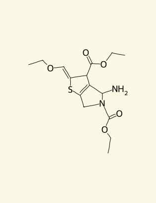 CCOC=C1SC2=C(C1C(=O)OCC)C(N)N(C(=O)OCC)C2